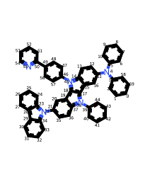 c1ccc(N(c2ccccc2)c2ccc3c(c2)c2c(c4cc(-n5c6ccccc6c6ccccc65)ccc4n2-c2ccccc2)n3-c2ccc(-c3ccccn3)cc2)cc1